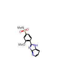 CNS(=O)(=O)c1ccc(-c2nc3ncccc3[nH]2)c(OC)c1